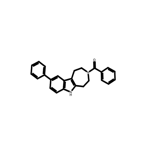 O=C(c1ccccc1)N1CCc2[nH]c3ccc(-c4ccccc4)cc3c2CC1